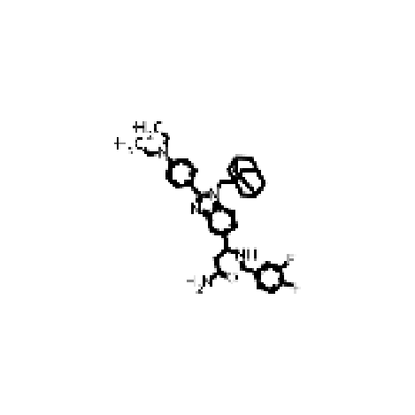 [CH2]CN(C[CH2])c1ccc(-c2nc3cc(C(CC(N)=O)NCc4ccc(F)c(F)c4)ccc3n2CC23CC4CC(CC(C4)C2)C3)cc1